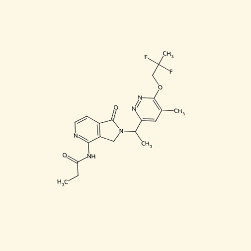 CCC(=O)Nc1nccc2c1CN(C(C)c1cc(C)c(OCC(C)(F)F)nn1)C2=O